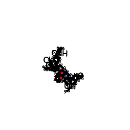 C#CC(O)N1[C@@H](CCCC)Cc2cc(OC)ccc2[C@@H]1C(=C)/C=C\C(=C/C)NC12CC3CC(C1)CC(c1c(OC)ccc4c1C[C@H](CCCC)N(C(=O)CCl)[C@H]4c1ccc(C(=O)NC4CC4)cc1)(C3)C2